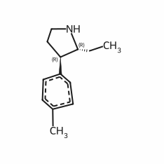 CC[C@H]1NCC[C@@H]1c1ccc(C)cc1